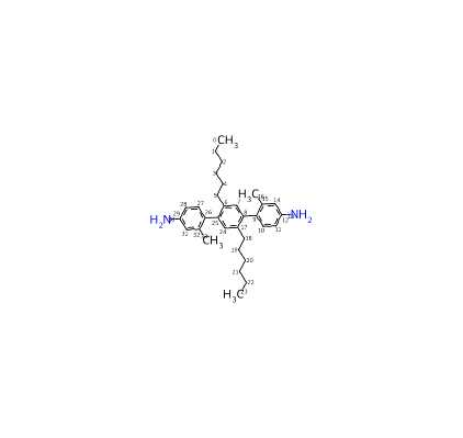 CCCCCCc1cc(-c2ccc(N)cc2C)c(CCCCCC)cc1-c1ccc(N)cc1C